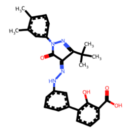 Cc1ccc(N2N=C(C(C)(C)C)C(=NNc3cccc(-c4cccc(C(=O)O)c4O)c3)C2=O)cc1C